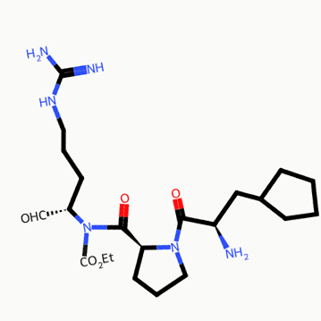 CCOC(=O)N(C(=O)[C@@H]1CCCN1C(=O)[C@H](N)CC1CCCC1)[C@H](C=O)CCCNC(=N)N